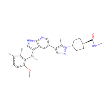 CNC(=O)[C@H]1CC[C@H](n2ncc(-c3cnc4[nH]cc([C@H](C)c5c(OC)ccc(F)c5Cl)c4c3)c2C)CC1